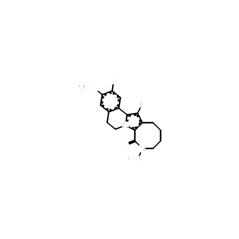 COc1cc2c(cc1F)-c1c(Br)c3c(n1CC2)C(=O)N(C(C)(C)C)CCCC3